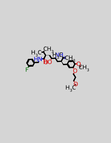 COCCCOC1C=C(C[C@@H](C[C@H](N)[C@@H](O)C[C@H](C(=O)NCc2cccc(F)c2)C(C)C)C(C)C)C=CC1OC